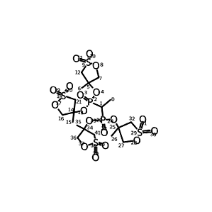 CC(P(=O)(OC1(C)COS(=O)(=O)C1)OC1(C)COS(=O)(=O)C1)P(=O)(OC1(C)COS(=O)(=O)C1)OC1(C)COS(=O)(=O)C1